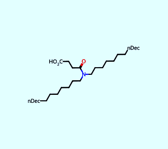 CCCCCCCCCCCCCCCCCN(CCCCCCCCCCCCCCCCC)C(=O)CCC(=O)O